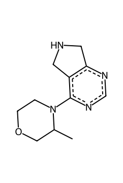 CC1COCCN1c1ncnc2c1CNC2